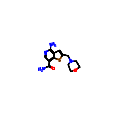 NC(=O)c1cnc(N)c2cc(CN3CCOCC3)sc12